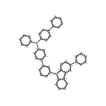 c1ccc(-c2ccc(N(c3ccccc3)c3ccc(-c4cccc(-n5c6ccccc6c6cc(-c7ccccc7)ccc65)c4)cc3)cc2)cc1